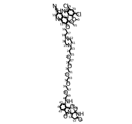 COc1cc(Nc2c(C#N)cnc3cc(OCCCN4CCN(CCCOCCOCCOCCOCCOCCNc5cccc6c5C(=O)N(C5CCC(=O)NC5=O)C6=O)CC4)c(OC)cc23)c(Cl)cc1Cl